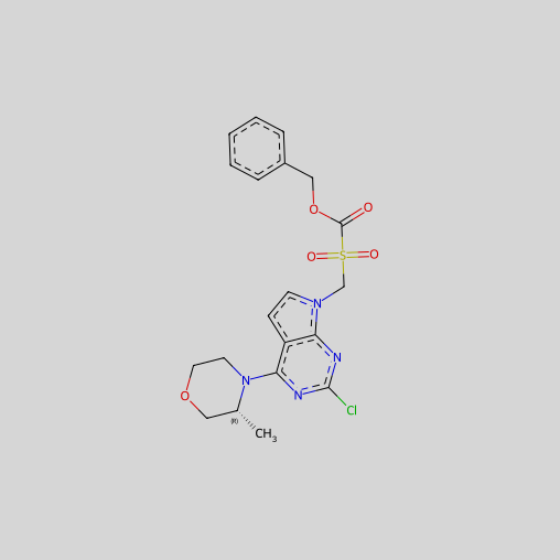 C[C@@H]1COCCN1c1nc(Cl)nc2c1ccn2CS(=O)(=O)C(=O)OCc1ccccc1